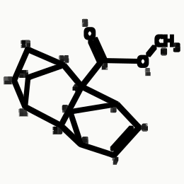 COC(=O)C12C3C=CC(C3)C1C1CCC2C1